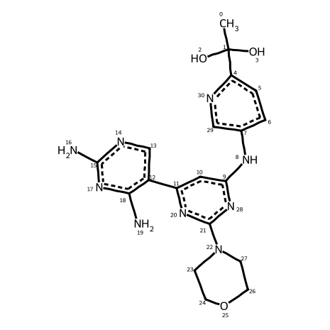 CC(O)(O)c1ccc(Nc2cc(-c3cnc(N)nc3N)nc(N3CCOCC3)n2)cn1